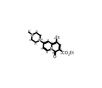 CCOC(=O)c1cc(CC)c2cc(N3CCN(C)CC3)ccn2c1=O